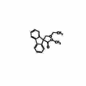 CCOCC1(C(=O)OC)c2ccccc2-c2ccccc21